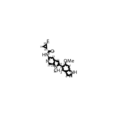 COc1cc2[nH]ncc2cc1-c1cc2cc(NC(=O)[C@@H]3C[C@@H]3F)ncc2n1C